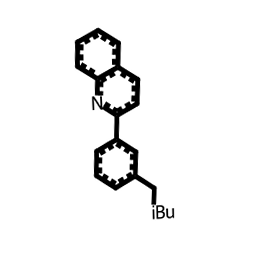 CCC(C)Cc1cccc(-c2ccc3ccccc3n2)c1